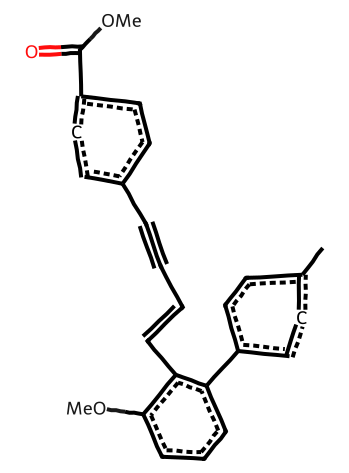 COC(=O)c1ccc(C#C/C=C/c2c(OC)cccc2-c2ccc(C)cc2)cc1